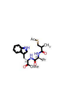 COC(=O)[C@H](Cc1c[nH]c2ccccc12)NC(=O)[C@@H](NC(=O)C(C)CSC(C)=O)C(C)C